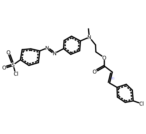 CN(CCOC(=O)/C=C/c1ccc(Cl)cc1)c1ccc(N=Nc2ccc(S(=O)(=O)Cl)cc2)cc1